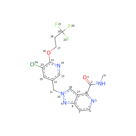 CNC(=O)c1nccc2nn(Cc3cnc(OCCC(F)(F)F)c(Cl)c3)cc12